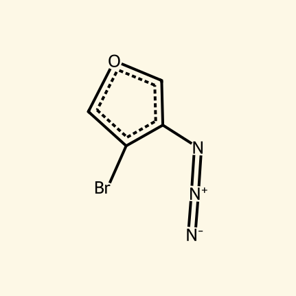 [N-]=[N+]=Nc1cocc1Br